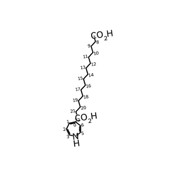 C1=CC=CNC=C1.O=C(O)CCCCCCCCCCCCCCC(=O)O